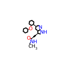 CCNC(=O)C#Cc1c[nH]c2ncc(-c3ccccc3Oc3ccccc3)cc12